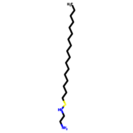 CCCCCCCCCCCCCCCCCSNCCN